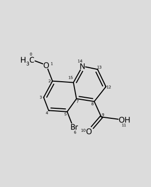 COc1ccc(Br)c2c(C(=O)O)ccnc12